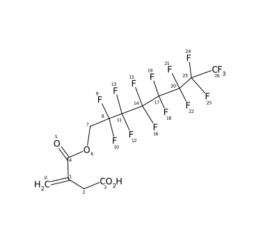 C=C(CC(=O)O)C(=O)OCC(F)(F)C(F)(F)C(F)(F)C(F)(F)C(F)(F)C(F)(F)C(F)(F)F